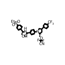 CCS(=O)(=O)c1ccc([C@H](CO)NC(=O)c2ccc(N3CC(c4ccc(C(F)(F)F)cc4)C[C@H]3COC(F)(F)C#N)cc2)cc1